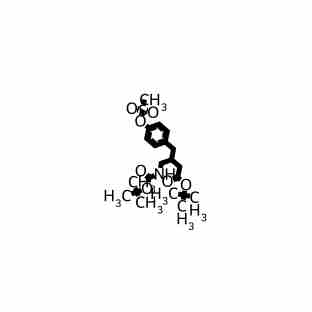 CC(C)(C)OC(=O)CC(CNC(=O)OC(C)(C)C)Cc1ccc(OS(C)(=O)=O)cc1